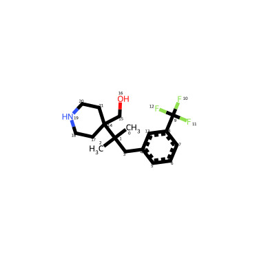 CC(C)(Cc1cccc(C(F)(F)F)c1)C1(CO)CCNCC1